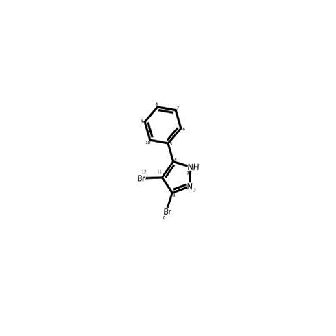 Brc1n[nH]c(-c2ccccc2)c1Br